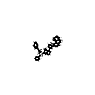 c1ccc(-c2nc(-c3ccccc3)nc(-c3ccc4c(-c5ccc6[se]c7c(ccc8ccc9ccccc9c87)c6c5)cccc4c3)n2)cc1